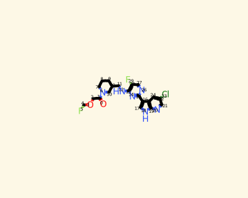 O=C(COCF)N1CCCC(CNc2nc(-c3c[nH]c4ncc(Cl)cc34)ncc2F)C1